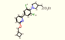 CCOC(=O)CC1CCN(c2c(F)cc(-c3cccc(OCC4CCC4)n3)cc2F)C1